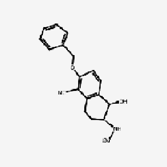 CC(C)(C)N[C@H]1CCc2c(ccc(OCc3ccccc3)c2C#N)[C@H]1O